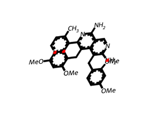 COc1ccc(Cc2c(N)ncc3c(N)nc(-c4cnccc4C)c(Cc4ccc(OC)cc4OC)c23)c(OC)c1